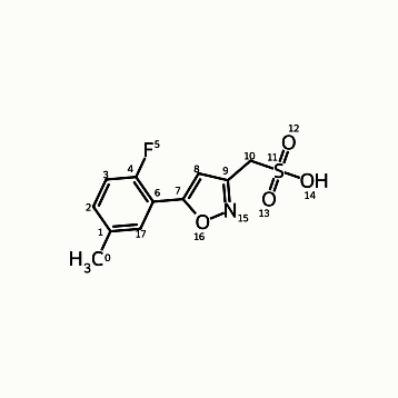 Cc1ccc(F)c(-c2cc(CS(=O)(=O)O)no2)c1